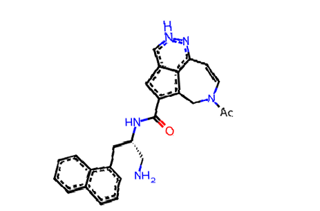 CC(=O)N1C=Cc2n[nH]cc3cc(C(=O)N[C@H](CN)Cc4cccc5ccccc45)c(c2-3)C1